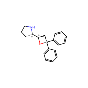 c1ccc([Si]2(c3ccccc3)C[C@H]([C@@H]3CCCN3)O2)cc1